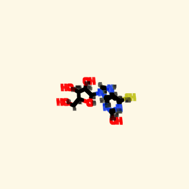 OCC1OC(n2cnc3c(S)nc(O)nc32)C(O)C1O